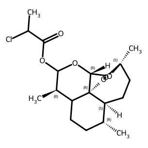 CC(Cl)C(=O)OC1O[C@@H]2O[C@]3(C)CC[C@H]4[C@H](C)CCC([C@H]1C)[C@@]24OO3